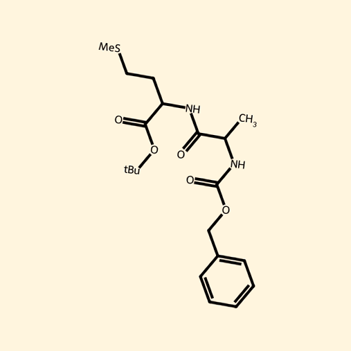 CSCCC(NC(=O)C(C)NC(=O)OCc1ccccc1)C(=O)OC(C)(C)C